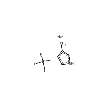 Cc1cc[nH]n1.F[B-](F)(F)F.[Na+]